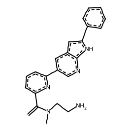 C=C(c1cccc(-c2cnc3[nH]c(-c4ccccc4)cc3c2)n1)N(C)CCN